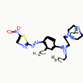 CCN(CC[N+]12CCN(CC1)CC2)c1ccc(/N=N/c2ncc([N+](=O)[O-])s2)c(C)c1